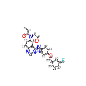 C=CC(=O)N1CCOc2c1ccc1ncnc(Nc3ccc(OCc4cccc(F)c4)cc3)c21